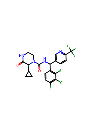 O=C1NCCN(C(=O)NC(c2ccc(C(F)(F)F)nc2)c2ccc(F)c(Cl)c2F)[C@H]1C1CC1